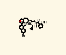 COc1ccc2cc(Br)ccc2c1CN1C(=O)[C@H](CC(CNC(=O)c2ccccc2O)NCC2CC2)CCc2ccccc21